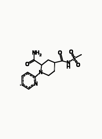 CS(=O)(=O)NC(=O)C1CCN(c2cc[c]cn2)C(C(N)=O)C1